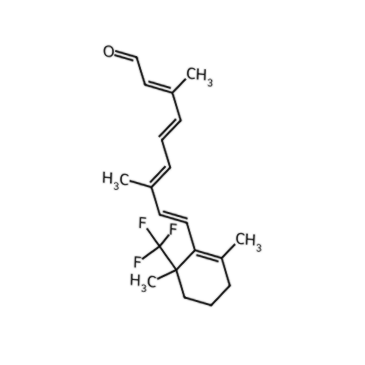 CC(C=CC=C(C)C=CC1=C(C)CCCC1(C)C(F)(F)F)=CC=O